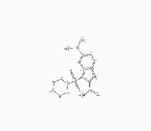 CN(C)c1ccc2[nH]c(C(N)=O)c(S(=O)(=O)N3CCOCC3)c2c1